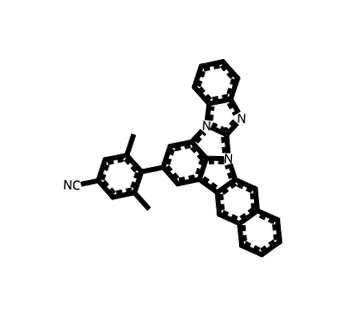 Cc1cc(C#N)cc(C)c1-c1cc2c3cc4ccccc4cc3n3c2c(c1)n1c2ccccc2nc13